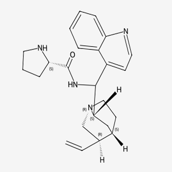 C=C[C@H]1C[N@]2CC[C@H]1C[C@H]2C(NC(=O)[C@@H]1CCCN1)c1ccnc2ccccc12